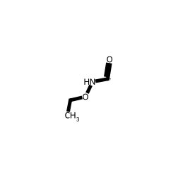 CCON[C]=O